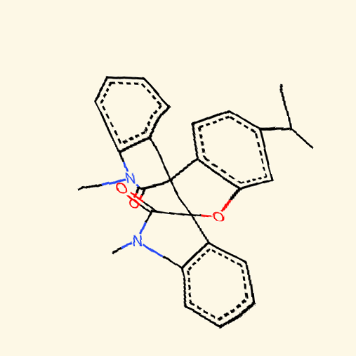 CC(C)c1ccc2c(c1)OC1(C(=O)N(C)c3ccccc31)C21C(=O)N(C)c2ccccc21